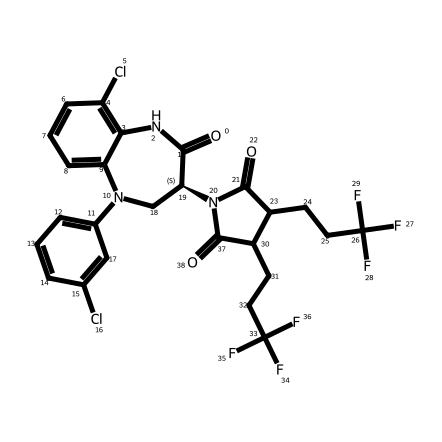 O=C1Nc2c(Cl)cccc2N(c2cccc(Cl)c2)C[C@@H]1N1C(=O)C(CCC(F)(F)F)C(CCC(F)(F)F)C1=O